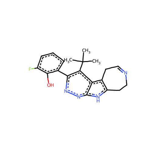 CC(C)(C)c1c(-c2cccc(F)c2O)nnc2[nH]c3c(c12)CC=NCC3